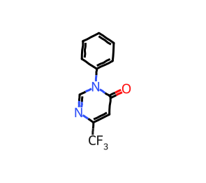 O=c1cc(C(F)(F)F)ncn1-c1ccccc1